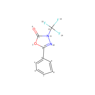 O=c1oc(-c2ccccc2)nn1C(F)(F)F